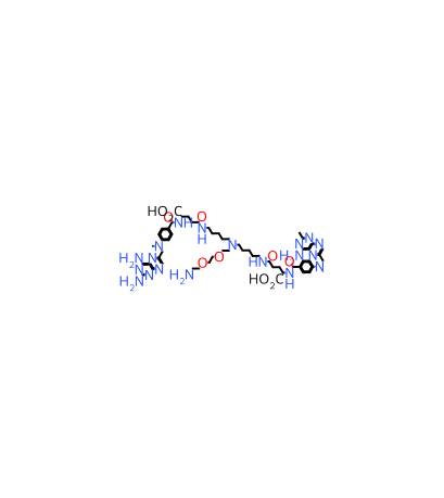 Cc1nc(N)c2nc(CN(C)c3ccc(C(=O)N[C@@H](CCC(=O)NCCCCCN(CCCCCNC(=O)CC[C@H](NC(=O)c4ccc(N(C)Cc5cnc6nc(N)nc(N)c6n5)cc4)C(=O)O)CCOCCOCCN)C(=O)O)cc3)cnc2n1